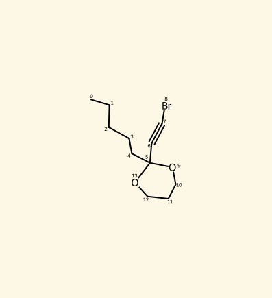 CCCCCC1(C#CBr)OCCCO1